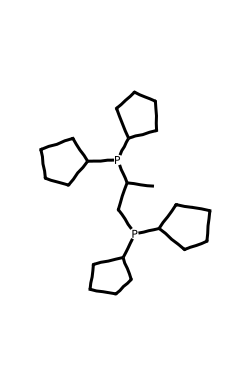 CC(CP(C1CCCC1)C1CCCC1)P(C1CCCC1)C1CCCC1